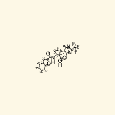 O=C(Nc1scc(-c2cnc(C(F)(F)F)nc2)c1C(=O)O)c1cc2ccccc2o1